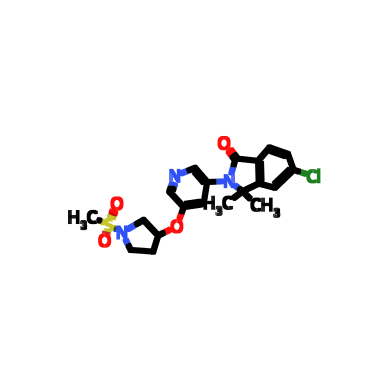 CC1(C)c2cc(Cl)ccc2C(=O)N1c1cncc(OC2CCN(S(C)(=O)=O)C2)c1